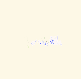 CC[C@H]1CN(c2ncc(/C(N)=N/NC)cc2Cl)CCN1C1CCN(Cc2ccc(Cl)cc2F)CC1